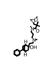 COCC(C)(COC)C(=O)N(C)CCCN(C)CC[C@@]1(O)C[C@@H]2CC[C@H]1C=C2c1ccccc1